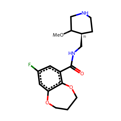 COC1CNCC[C@H]1CNC(=O)c1cc(F)cc2c1OCCCO2